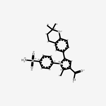 CCC(=O)c1cc(-c2ccc3c(c2)CCC(C)(C)O3)n(-c2ccc(S(N)(=O)=O)cc2)c1C